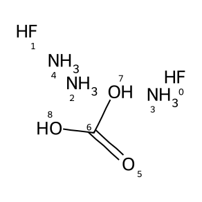 F.F.N.N.N.O=C(O)O